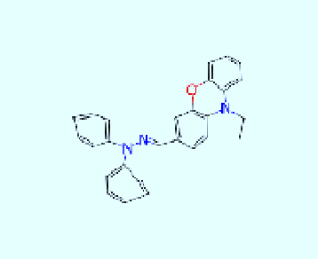 CCN1c2ccccc2Oc2cc(C=NN(c3ccccc3)c3ccccc3)ccc21